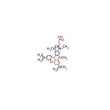 CCN(CCCC(=O)O)c1cc(OC)c(C2c3ccc(N(C)C)cc3OC3CC(N(C)C)C=CC32)cc1N(C)C